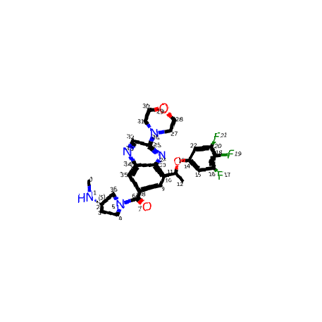 CN[C@H]1CCN(C(=O)c2cc(C(C)Oc3cc(F)c(F)c(F)c3)c3nc(N4CCOCC4)cnc3c2)C1